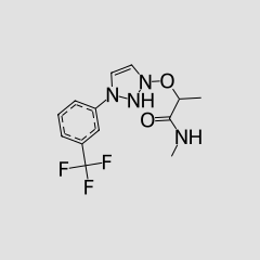 CNC(=O)C(C)ON1C=CN(c2cccc(C(F)(F)F)c2)N1